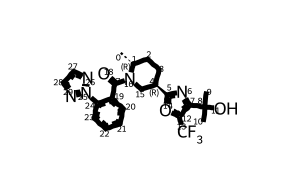 C[C@@H]1CC[C@@H](c2nc(C(C)(C)O)c(C(F)(F)F)o2)CN1C(=O)c1ccccc1-n1nccn1